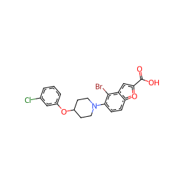 O=C(O)c1cc2c(Br)c(N3CCC(Oc4cccc(Cl)c4)CC3)ccc2o1